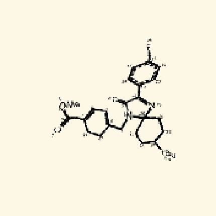 COC(=O)C1=CC=C(CN2C(=O)C(c3ccc(F)cc3)=NC23CCC(C(C)(C)C)CC3)CC1